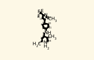 C=C/C=C(CNc1ccc(-c2cc(C(F)(F)F)nn2C)cc1)\C(C)=C/N